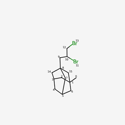 CC12CC3CC(C1)CC(CC(Br)CBr)(C3)C2